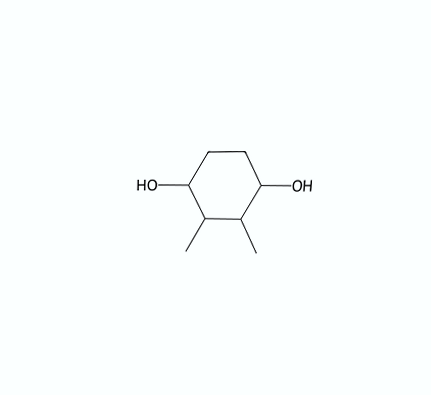 CC1C(O)CCC(O)C1C